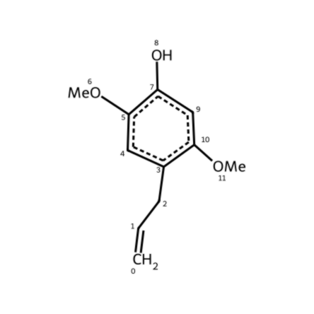 C=CCc1cc(OC)c(O)cc1OC